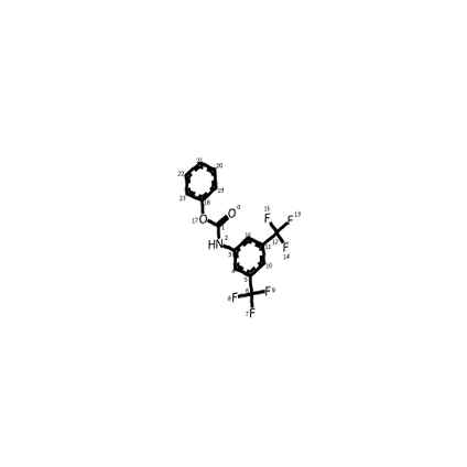 O=C(Nc1cc(C(F)(F)F)cc(C(F)(F)F)c1)Oc1ccccc1